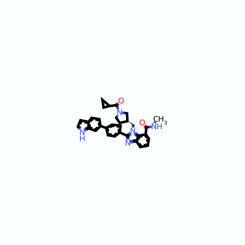 CNC(=O)c1cccc2nc(-c3ccc(-c4ccc5cc[nH]c5c4)cc3)n(C[C@@H]3CCN(C(=O)C4CC4)C3)c12